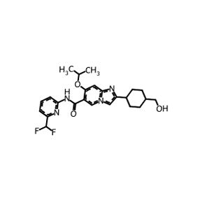 CC(C)Oc1cc2nc(C3CCC(CO)CC3)cn2cc1C(=O)Nc1cccc(C(F)F)n1